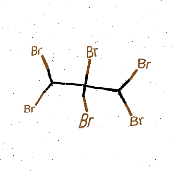 Br[C](Br)C(Br)(Br)[C](Br)Br